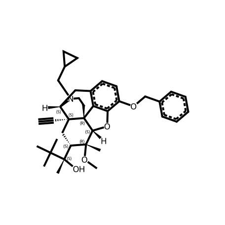 C#C[C@@]12C[C@@H]([C@](C)(O)C(C)(C)C)[C@@](C)(OC)[C@H]3Oc4c(OCc5ccccc5)ccc5c4[C@]31CCN(CC1CC1)[C@H]2C5